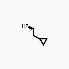 P=CCC1CC1